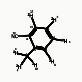 [2H]c1c([2H])c([2H])c(C([2H])([2H])[2H])c(C#N)c1[2H]